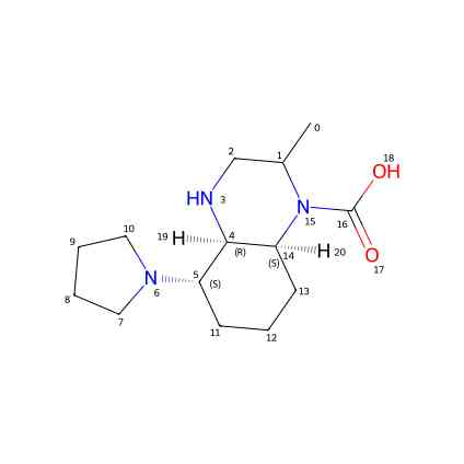 CC1CN[C@@H]2[C@@H](N3CCCC3)CCC[C@@H]2N1C(=O)O